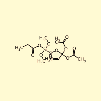 C=CC(O[SiH2][Si](OC)(OC)OC(=O)CC)(OC(C)=O)OC(C)=O